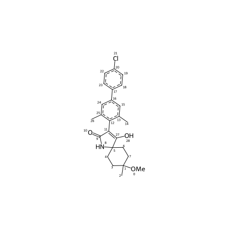 COC1(C)CCC2(CC1)NC(=O)C(c1c(C)cc(-c3ccc(Cl)cc3)cc1C)=C2O